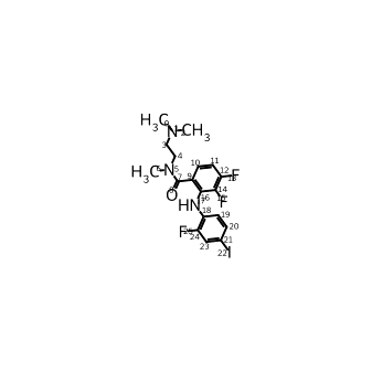 CN(C)CCN(C)C(=O)c1ccc(F)c(F)c1Nc1ccc(I)cc1F